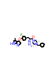 Cc1c[nH]c2nccc(Oc3ccc(C[C@H](N)C(=O)N4C[C@@H](C)N(Cc5ccccc5)[C@@H](C)C4)cc3F)c12